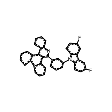 Fc1ccc2c(c1)c1cc(F)ccc1n2-c1cccc(-c2nc3ccccc3c3c4ccccc4c4ccccc4c23)c1